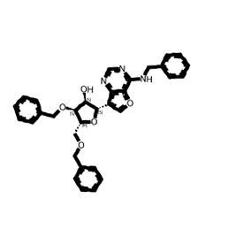 O[C@@H]1[C@H](OCc2ccccc2)[C@@H](COCc2ccccc2)O[C@H]1c1coc2c(NCc3ccccc3)ncnc12